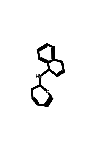 C1#CCC(NC2C=CCc3ccccc32)CC=C1